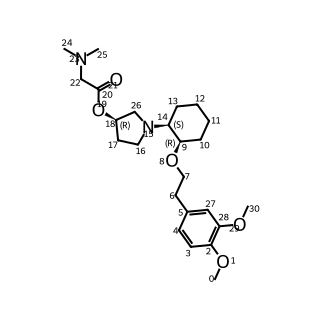 COc1ccc(CCO[C@@H]2CCCC[C@@H]2N2CC[C@@H](OC(=O)CN(C)C)C2)cc1OC